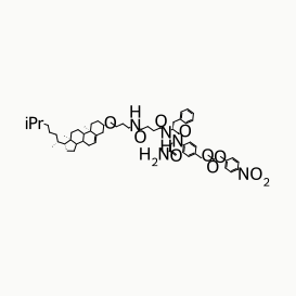 CC(C)CCC[C@@H](C)[C@H]1CCC2C3CC=C4C[C@@H](OCCCNC(=O)CCC(=O)N[C@@H](Cc5ccccc5)C(=O)N(CC(N)=O)c5ccc(COC(=O)Oc6ccc([N+](=O)[O-])cc6)cc5)CC[C@]4(C)C3CC[C@@]21C